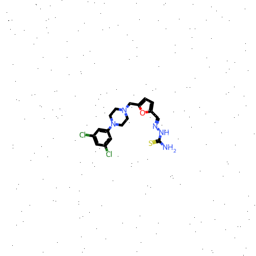 NC(=S)NN=Cc1ccc(CN2CCN(c3cc(Cl)cc(Cl)c3)CC2)o1